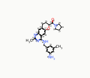 Cc1cc(N)cc(CNc2nc(C)nc3cc4c(cc23)OC(C(=O)N2CCCC2)CC4)c1